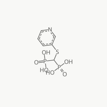 O=P(O)(O)C(Sc1cccnc1)P(=O)(O)O